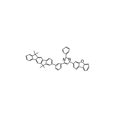 CC1(C)c2ccccc2-c2cc3c(cc21)-c1ccc(-c2cccc(-c4cc(-c5ccc6c(c5)oc5ccccc56)nc(-c5ccccc5)n4)c2)cc1C3(C)C